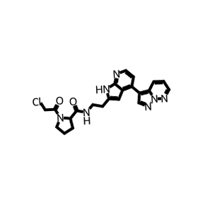 O=C(NCCc1cc2c(-c3cnn4ncccc34)ccnc2[nH]1)C1CCCN1C(=O)CCl